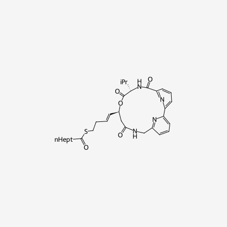 CCCCCCCC(=O)SCC/C=C/[C@@H]1CC(=O)NCc2cccc(n2)-c2cccc(n2)C(=O)N[C@@H](C(C)C)C(=O)O1